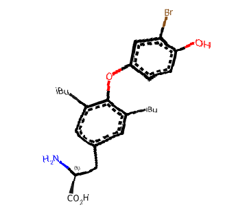 CCC(C)c1cc(C[C@H](N)C(=O)O)cc(C(C)CC)c1Oc1ccc(O)c(Br)c1